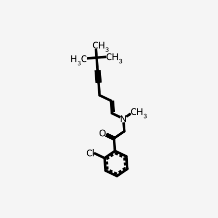 CN(C=CCC#CC(C)(C)C)CC(=O)c1ccccc1Cl